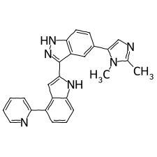 Cc1ncc(-c2ccc3[nH]nc(-c4cc5c(-c6ccccn6)cccc5[nH]4)c3c2)n1C